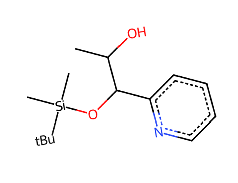 CC(O)C(O[Si](C)(C)C(C)(C)C)c1ccccn1